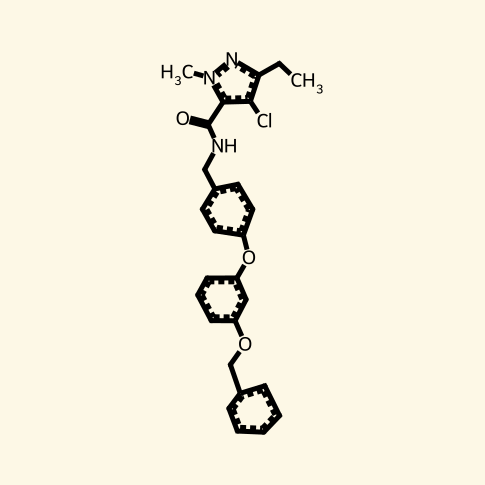 CCc1nn(C)c(C(=O)NCc2ccc(Oc3cccc(OCc4ccccc4)c3)cc2)c1Cl